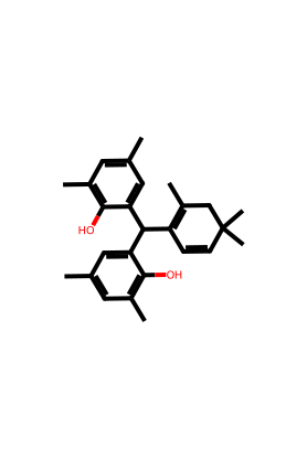 CC1=C(C(c2cc(C)cc(C)c2O)c2cc(C)cc(C)c2O)C=CC(C)(C)C1